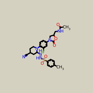 CC(=O)NCC1CN(c2ccc(N3CCC(C#N)CC3NNS(=O)(=O)c3ccc(C)cc3)c(F)c2)C(=O)O1